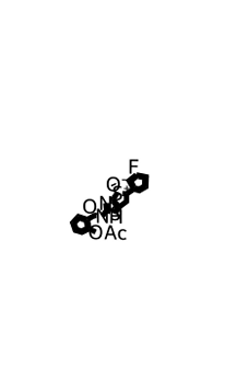 CC(=O)Oc1ccccc1C(=O)Nc1nc2c(s1)CC(c1cccc(F)c1)[S+]2[O-]